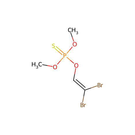 COP(=S)(OC)OC=C(Br)Br